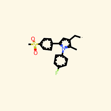 [CH2]Cc1cc(-c2ccc(S(C)(=O)=O)cc2)n(-c2ccc(F)cc2)c1C